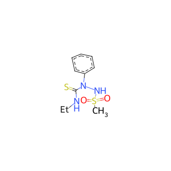 CCNC(=S)N(NS(C)(=O)=O)c1ccccc1